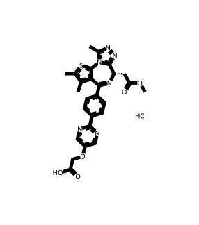 COC(=O)C[C@@H]1N=C(c2ccc(-c3ncc(OCC(=O)O)cn3)cc2)c2c(sc(C)c2C)-n2c(C)nnc21.Cl